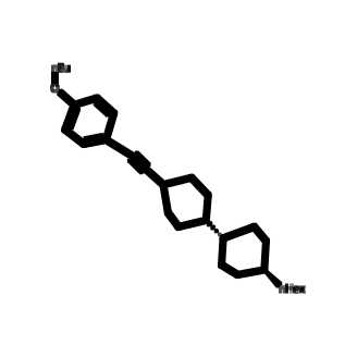 CCCCCC[C@H]1CC[C@H](C2CCC(C#Cc3ccc(OCCCC)cc3)CC2)CC1